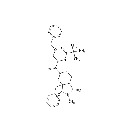 CN1C(=O)C2CCN(C(=O)C(COCc3ccccc3)NC(=O)C(C)(C)N)CC2(Cc2ccccc2)C1=O